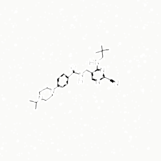 CC(C)N1CCN(c2ccc(C(=O)NCc3cnc(C#N)nc3NCC(C)(C)C)cc2)CC1